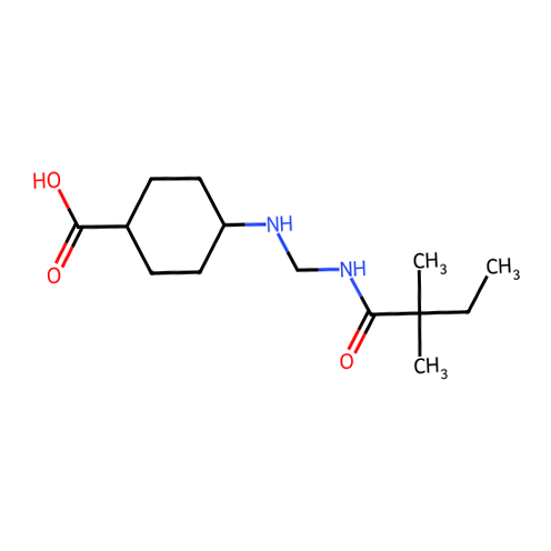 CCC(C)(C)C(=O)NCNC1CCC(C(=O)O)CC1